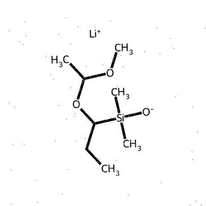 CCC(OC(C)OC)[Si](C)(C)[O-].[Li+]